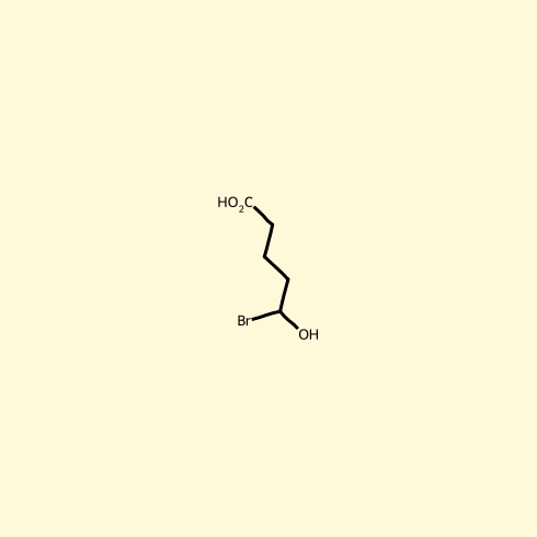 O=C(O)CCCC(O)Br